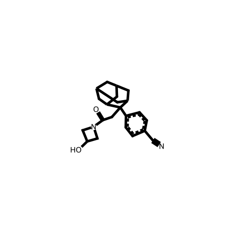 N#Cc1ccc(C2(CC(=O)N3CC(O)C3)C3CC4CC(C3)CC2C4)cc1